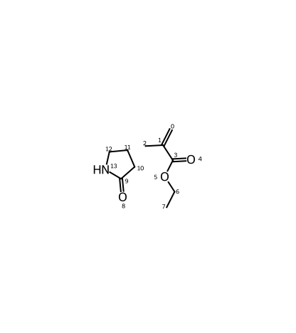 C=C(C)C(=O)OCC.O=C1CCCN1